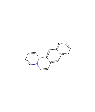 C1=CB2c3cc4ccccc4cc3C=CN2C=C1